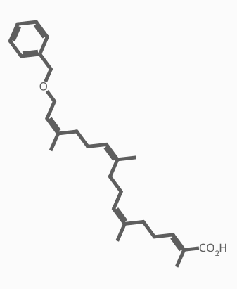 CC(=CCCC(C)=CCOCc1ccccc1)CCC=C(C)CCC=C(C)C(=O)O